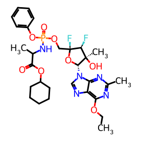 CCOc1nc(C)nc2c1ncn2[C@@H]1O[C@](F)(COP(=O)(NC(C)C(=O)OC2CCCCC2)Oc2ccccc2)[C@@H](F)[C@@]1(C)O